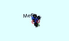 COc1cccc2c1ncc1c(=O)n(-c3ccc(C)c(F)c3)c(=O)n(C3CCCC3)c12